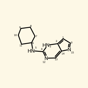 c1cc2[nH]c(NC3CCCCC3)ncc-2n1